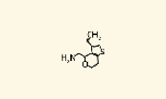 C=Cc1csc2c1C(CN)OCC2